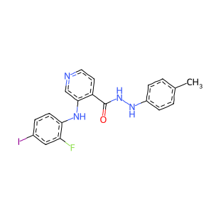 Cc1ccc(NNC(=O)c2ccncc2Nc2ccc(I)cc2F)cc1